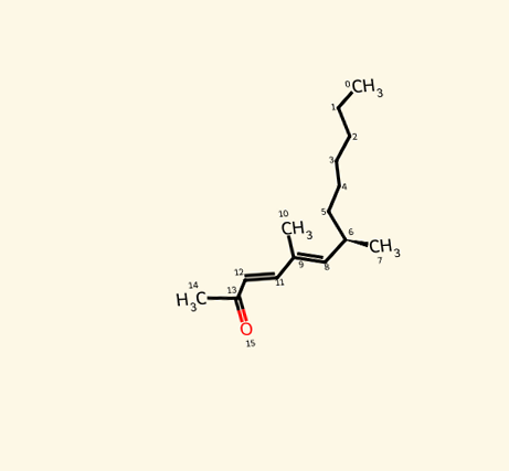 CCCCCC[C@@H](C)/C=C(C)/C=C/C(C)=O